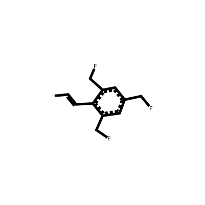 [CH2]C=Cc1c(CF)cc(CF)cc1CF